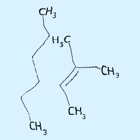 CC=C(C)C.CCCCCC